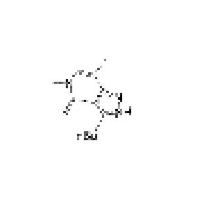 C=C1c2c(n[nH]c2CCCC)C(C)=CN1C